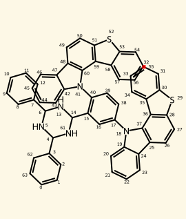 c1ccc(C2NC(c3ccccc3)NC(c3cc(-n4c5ccccc5c5ccc6sc7ccccc7c6c54)ccc3-n3c4ccccc4c4ccc5sc6ccccc6c5c43)N2)cc1